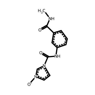 CNC(=O)c1cccc(NC(=O)n2cc[n+]([O-])c2)c1